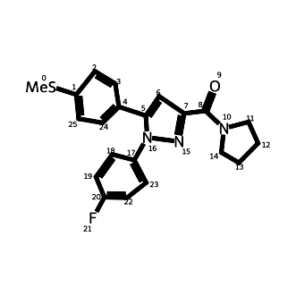 CSc1ccc(-c2cc(C(=O)N3CCCC3)nn2-c2ccc(F)cc2)cc1